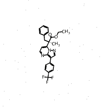 CCOC(=O)[C@](C)(Cc1ccccc1)c1ccnc2c(-c3ccc(C(F)(F)F)cc3)cnn12